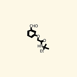 CCC(C)(C)NC(=O)COc1cccc(C=O)c1